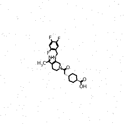 Cc1nn(Cc2cc(F)c(F)cc2F)c2c1CCN(C(=O)C[C@H]1CC[C@H](C(=O)O)CC1)C2